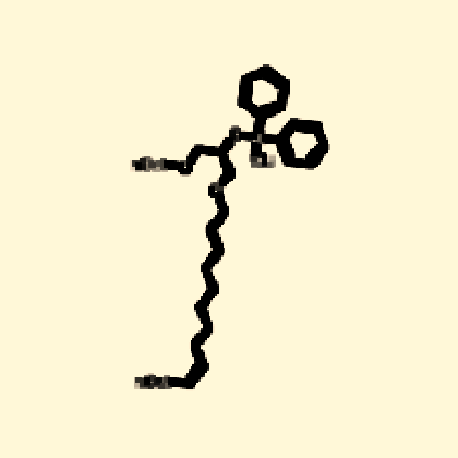 CCCCCCCC/C=C\CCCCCCCCOCC(COCCCCCCCC)O[Si](c1ccccc1)(c1ccccc1)C(C)(C)C